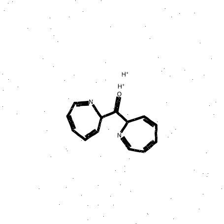 O=C(C1C=CC=CC=N1)C1C=CC=CC=N1.[H+].[H+]